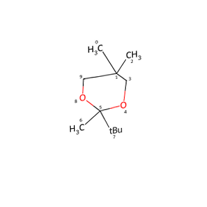 CC1(C)COC(C)(C(C)(C)C)OC1